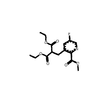 CCOC(=O)C(Cc1cc(F)cnc1C(=O)OC)C(=O)OCC